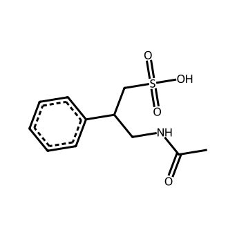 CC(=O)NCC(CS(=O)(=O)O)c1ccccc1